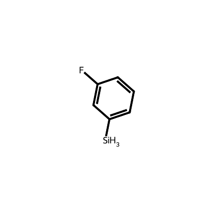 Fc1cccc([SiH3])c1